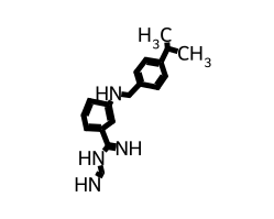 CC(C)c1ccc(CNc2cccc(C(=N)NC=N)c2)cc1